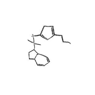 CCCC1=CC[C]([Zr][Si](C)(C)C2CCC3C=CC=CC32)=C1